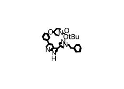 CC(C)(C)OC(=O)N1CCC(Oc2cccc(-c3cnc4[nH]cc(-c5cnn(CCc6ccccc6)c5)c4c3)c2)CC1